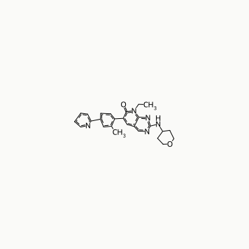 CCn1c(=O)c(-c2ccc(-c3ccccn3)cc2C)cc2cnc(NC3CCOCC3)nc21